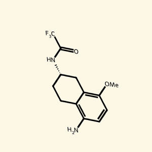 COc1ccc(N)c2c1C[C@@H](NC(=O)C(F)(F)F)CC2